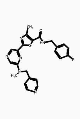 Cc1nc(-c2cncc(N(C)Cc3ccncc3)n2)sc1C(=O)NCc1ccc(F)cc1